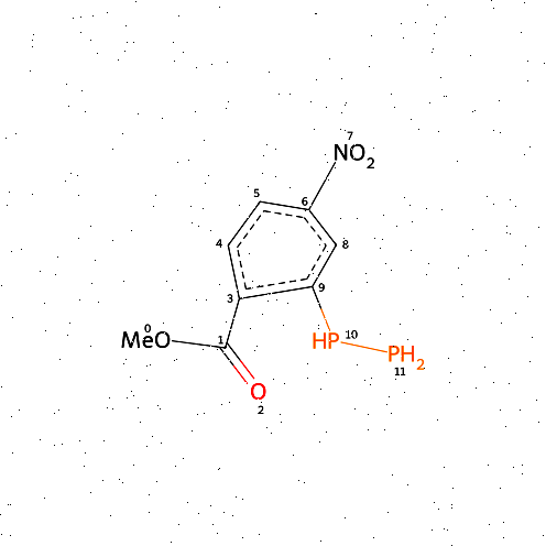 COC(=O)c1ccc([N+](=O)[O-])cc1PP